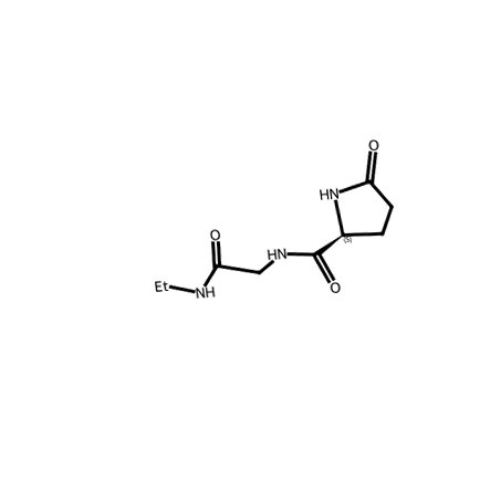 [CH2]CNC(=O)CNC(=O)[C@@H]1CCC(=O)N1